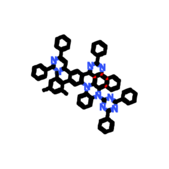 Cc1cc(C)c(-c2cc(N3c4ccccc4N(c4nc(-c5ccccc5)nc(-c5ccccc5)n4)c4ccccc43)c(-c3cc(-c4ccccc4)nc(-c4ccccc4)n3)cc2-c2cc(-c3ccccc3)nc(-c3ccccc3)n2)c(C)c1